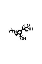 CCC(C)(C)Cn1ccc2c(C(C)(C)O)cc(-c3cn(C)c4c(=O)[nH]ccc34)cc21